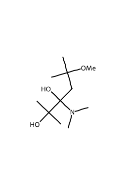 COC(C)(C)CC(O)(N(C)C)C(C)(C)O